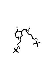 CN(CCCOC(C)(C)C)CC1CN(CCOC(C)(C)C)CCC1F